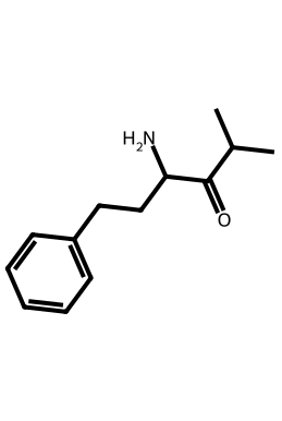 CC(C)C(=O)C(N)CCc1ccccc1